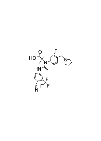 CC(C)(C(=O)O)N(C(=S)Nc1ccc(C#N)c(C(F)(F)F)c1)c1c#cc(CN2CCCC2)c(F)c1